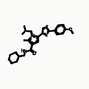 COc1ccc(-c2nc(-c3cc(C(=O)NCC4CCCCC4)c(C)n3CC(C)C)cs2)cc1